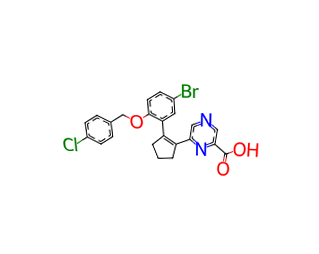 O=C(O)c1cncc(C2=C(c3cc(Br)ccc3OCc3ccc(Cl)cc3)CCC2)n1